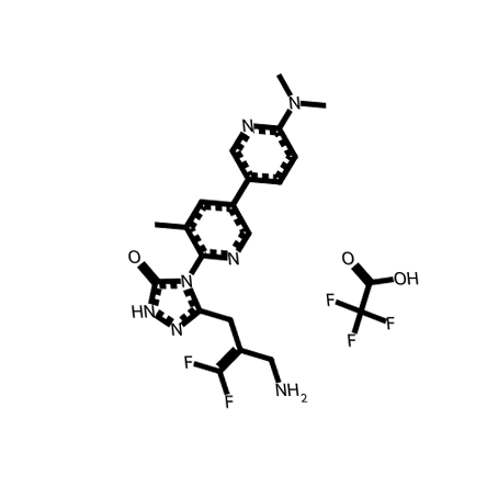 Cc1cc(-c2ccc(N(C)C)nc2)cnc1-n1c(CC(CN)=C(F)F)n[nH]c1=O.O=C(O)C(F)(F)F